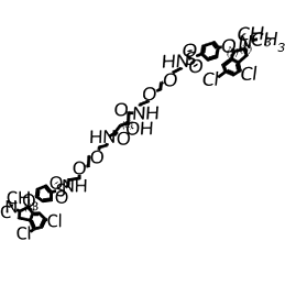 CN(C)C1Cc2c(Cl)cc(Cl)cc2[C@@H]1Oc1ccc(S(=O)(=O)NCCOCCOCCNC(=O)C[C@@H](O)C(=O)NCCOCCOCCNS(=O)(=O)c2ccc(O[C@H]3c4cc(Cl)cc(Cl)c4C[C@@H]3N(C)C)cc2)cc1